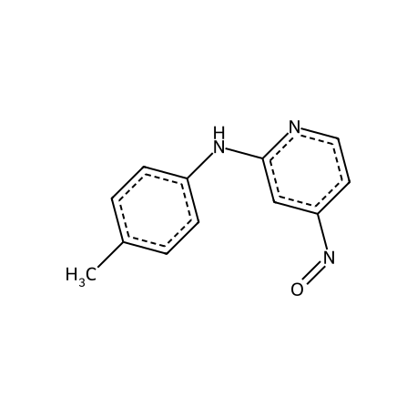 Cc1ccc(Nc2cc(N=O)ccn2)cc1